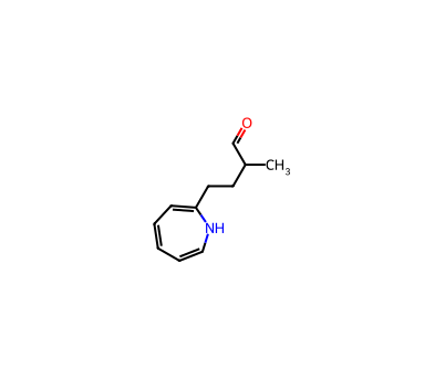 CC(C=O)CCC1=CC=CC=CN1